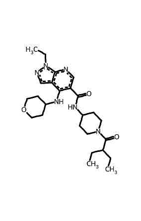 CCC(CC)C(=O)N1CCC(NC(=O)c2cnc3c(cnn3CC)c2NC2CCOCC2)CC1